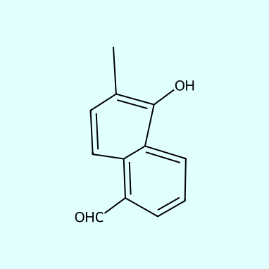 Cc1ccc2c(C=O)cccc2c1O